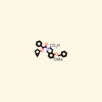 COc1ccc2c(c1OCc1ccccc1)C[C@@H](C(=O)O)N(C(=O)C(OC1CCC3CC31)c1ccccc1)C2